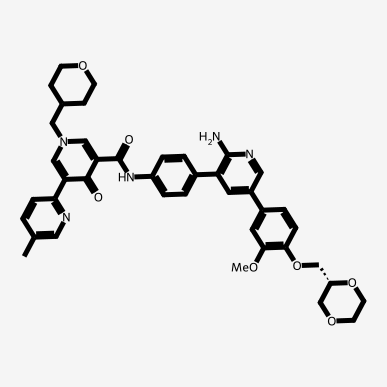 COc1cc(-c2cnc(N)c(-c3ccc(NC(=O)c4cn(CC5CCOCC5)cc(-c5ccc(C)cn5)c4=O)cc3)c2)ccc1OC[C@H]1COCCO1